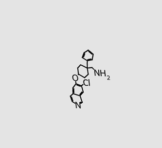 NCC1(c2ccccc2)CCC(Oc2cc3ccncc3cc2Cl)CC1